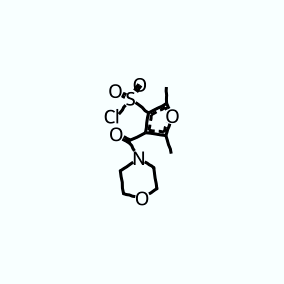 Cc1oc(C)c(S(=O)(=O)Cl)c1C(=O)N1CCOCC1